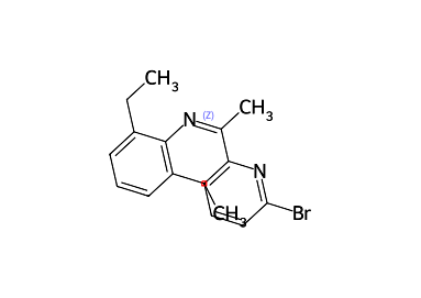 CCc1cccc(CC)c1/N=C(/C)c1cccc(Br)n1